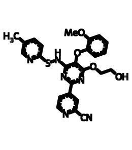 COc1ccccc1Oc1c(NSc2ccc(C)cn2)nc(-c2ccnc(C#N)c2)nc1OCCO